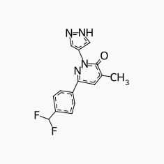 Cc1cc(-c2ccc(C(F)F)cc2)nn(-c2cn[nH]c2)c1=O